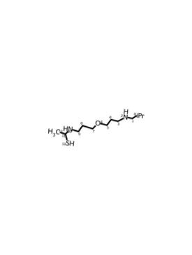 CC(C)CNCCCOCCCNC(C)S